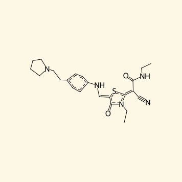 CCNC(=O)C(C#N)=c1sc(=CNc2ccc(CCN3CCCC3)cc2)c(=O)n1CC